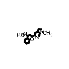 Cn1ccc2cc(-c3c/c(=N/O)c4ccccc4o3)ncc21